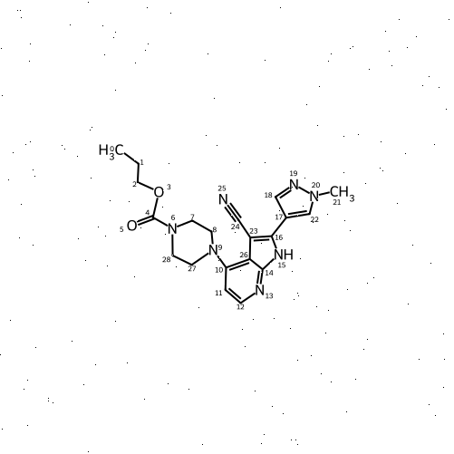 CCCOC(=O)N1CCN(c2ccnc3[nH]c(-c4cnn(C)c4)c(C#N)c23)CC1